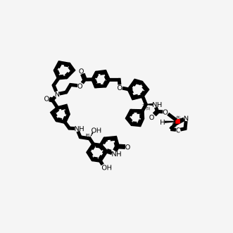 O=C(N[C@@H](c1ccccc1)c1cccc(OCc2ccc(C(=O)OCCN(Cc3ccccc3)C(=O)c3ccc(CNC[C@H](O)c4ccc(O)c5[nH]c(=O)ccc45)cc3)cc2)c1)O[C@H]1CN2CCC1CC2